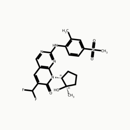 Cc1cc(S(C)(=O)=O)ccc1Nc1ncc2cc(C(F)F)c(=O)n([C@@H]3CCC[C@@]3(C)O)c2n1